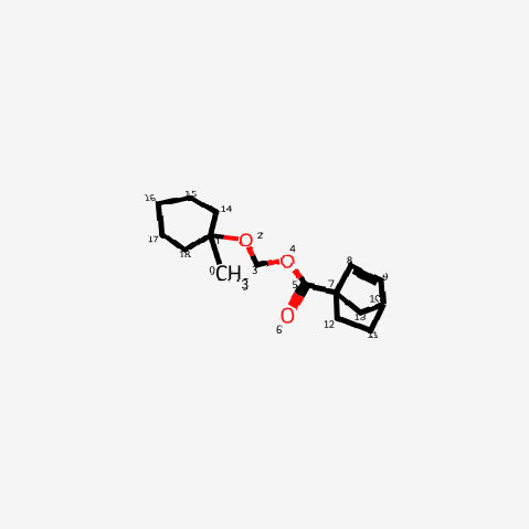 CC1(OCOC(=O)C23C=CC(CC2)C3)CCCCC1